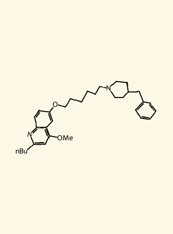 CCCCc1cc(OC)c2cc(OCCCCCCN3CCC(Cc4ccccc4)CC3)ccc2n1